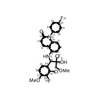 COCC(O)(C(Nc1cccc2c1ccc(=O)n2-c1ccc(F)cc1)c1ccc(OC)c(F)c1Cl)C(F)(F)F